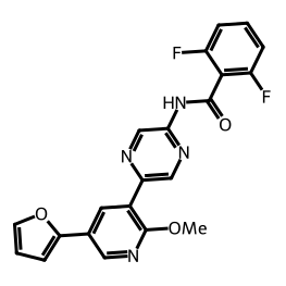 COc1ncc(-c2ccco2)cc1-c1cnc(NC(=O)c2c(F)cccc2F)cn1